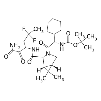 CC(F)(F)CC(NC(=O)[C@@H]1[C@@H]2[C@H](CN1C(=O)[C@@H](NC(=O)OC(C)(C)C)C1CCCCC1)C2(C)C)C(=O)C(N)=O